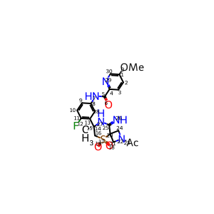 COc1ccc(C(=O)Nc2ccc(F)c([C@]3(C)CS(=O)(=O)C4(CN(C(C)=O)C4)C(=N)N3)c2)nc1